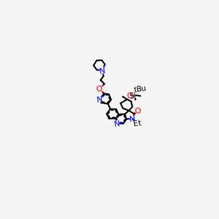 CCN1C(=O)C2(CCC(C)(O[Si](C)(C)C(C)(C)C)CC2)c2c1cnc1ccc(-c3ccc(OCCCN4CCCCC4)nc3)cc21